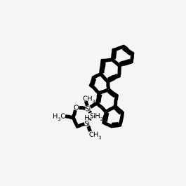 CC1C[SiH](C)[SiH2][Si](C)(c2c3ccccc3cc3c2ccc2cc4ccccc4cc23)O1